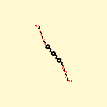 OCCOCCOCCOCCCc1ccc(/C=C/c2ccc(/C=C/c3ccc(OCCOCCOCCOCCO)cc3)cc2)cc1